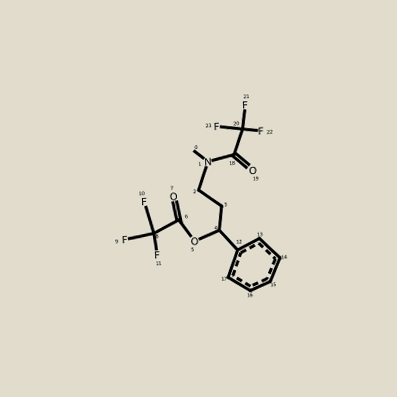 CN(CCC(OC(=O)C(F)(F)F)c1ccccc1)C(=O)C(F)(F)F